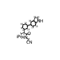 CC(C)CC(C(=O)NCC#N)c1cccc(-c2ccc3c(c2)CCN3)c1